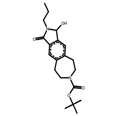 CCCN1C(=O)c2cc3c(cc2C1O)CCN(C(=O)OC(C)(C)C)CC3